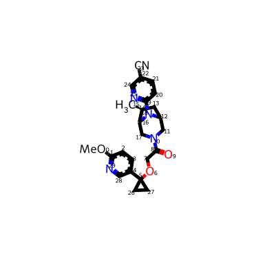 COc1ccc(C2(OCC(=O)N3CC4C[C@H](C)C(C3)N4c3ccc(C#N)cn3)CC2)cn1